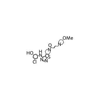 COC1CCN(CC=CC(=O)N2CCc3c(sc4ncnc(Nc5cc(O)cc(Cl)c5)c34)C2)CC1